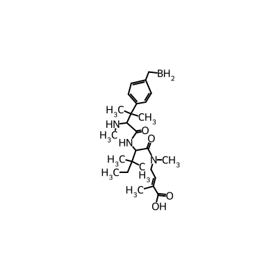 BCc1ccc(C(C)(C)C(NC)C(=O)NC(C(=O)N(C)C/C=C(\C)C(=O)O)C(C)(C)CC)cc1